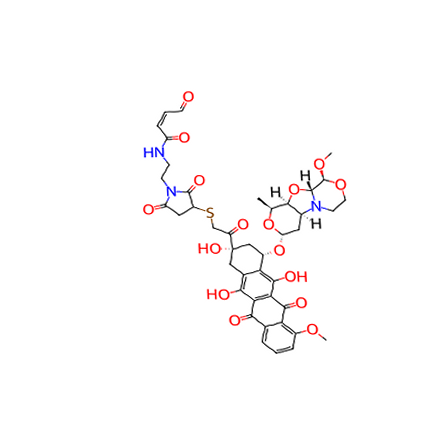 COc1cccc2c1C(=O)c1c(O)c3c(c(O)c1C2=O)C[C@@](O)(C(=O)CSC1CC(=O)N(CCNC(=O)/C=C\C=O)C1=O)C[C@@H]3O[C@H]1C[C@H]2[C@H](O[C@@H]3[C@@H](OC)OCCN32)[C@H](C)O1